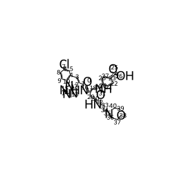 O=C(/C=C/c1cc(Cl)ccc1-n1cnnn1)NC(CNc1ccc(C(=O)O)cc1)CC(=O)NCCN1CCOCC1